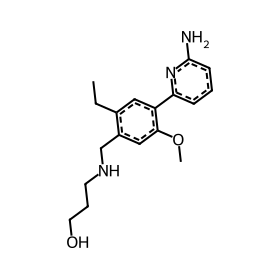 CCc1cc(-c2cccc(N)n2)c(OC)cc1CNCCCO